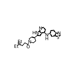 CCN(CC)CCC(=O)N1CC=C(c2cc3c(Nc4ccc5ncsc5c4)ccnc3[nH]2)CC1